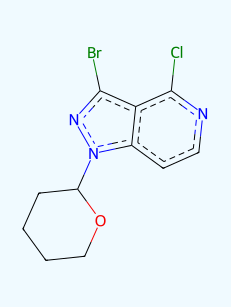 Clc1nccc2c1c(Br)nn2C1CCCCO1